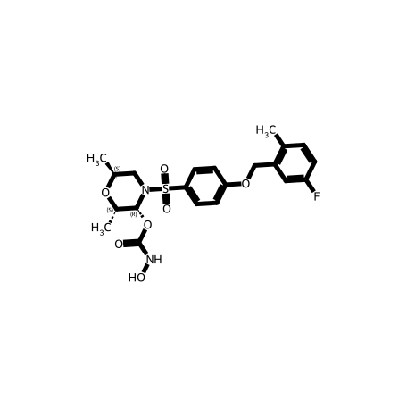 Cc1ccc(F)cc1COc1ccc(S(=O)(=O)N2C[C@H](C)O[C@@H](C)[C@H]2OC(=O)NO)cc1